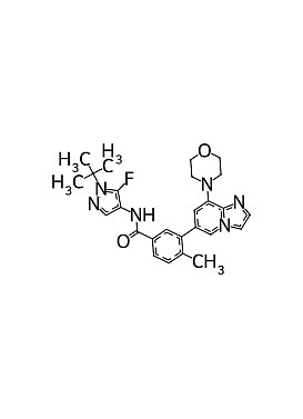 Cc1ccc(C(=O)Nc2cnn(C(C)(C)C)c2F)cc1-c1cc(N2CCOCC2)c2nccn2c1